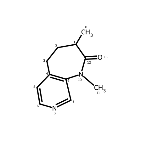 CC1CCc2ccncc2N(C)C1=O